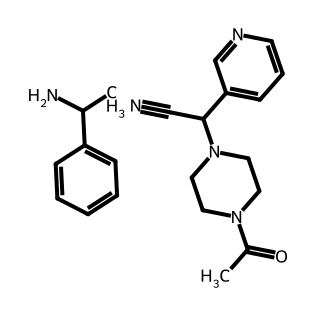 CC(=O)N1CCN(C(C#N)c2cccnc2)CC1.CC(N)c1ccccc1